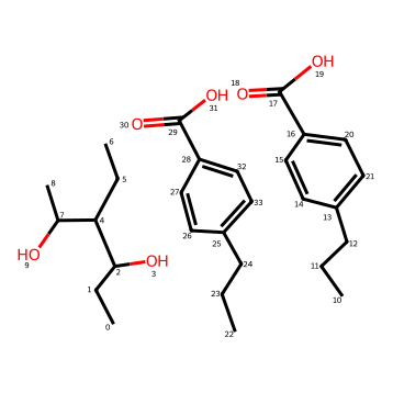 CCC(O)C(CC)C(C)O.CCCc1ccc(C(=O)O)cc1.CCCc1ccc(C(=O)O)cc1